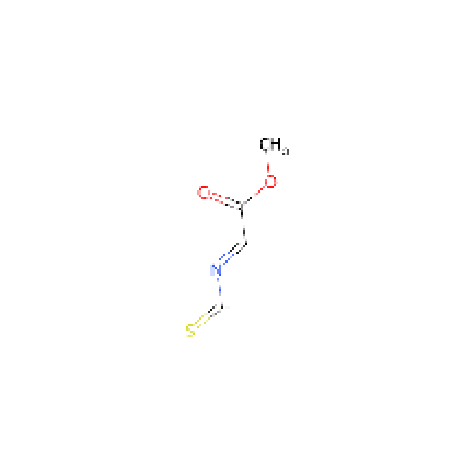 COC(=O)/C=N/[C]=S